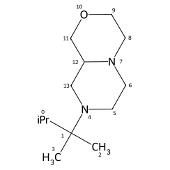 CC(C)C(C)(C)N1CCN2CCOCC2C1